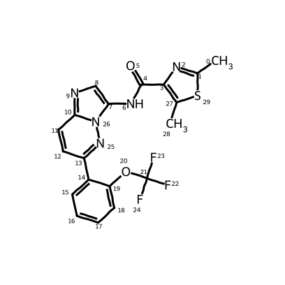 Cc1nc(C(=O)Nc2cnc3ccc(-c4ccccc4OC(F)(F)F)nn23)c(C)s1